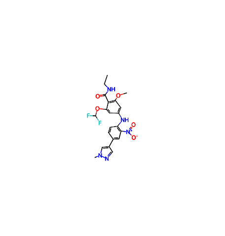 CCNC(=O)c1c(OC)cc(Nc2ccc(-c3cnn(C)c3)cc2[N+](=O)[O-])cc1OC(F)F